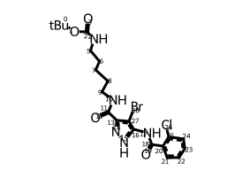 CC(C)(C)OC(=O)NCCCCCNC(=O)c1n[nH]c(NC(=O)c2ccccc2Cl)c1Br